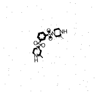 C[C@@H]1CN(S(=O)(=O)c2cccc(S(=O)(=O)N3CCN[C@H](C)C3)c2)CCN1